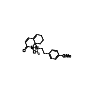 COc1ccc(CCNC23CCCC=C2C=CC(=O)N3C)cc1